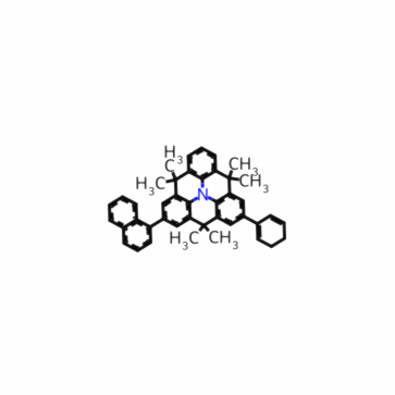 CC1(C)c2cccc3c2N2c4c1cc(C1=CCCC=C1)cc4C(C)(C)c1cc(-c4cccc5ccccc45)cc(c12)C3(C)C